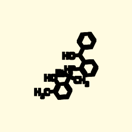 CCC(C)(Pc1ccccc1C(O)c1ccccc1)c1cccc(C)c1O